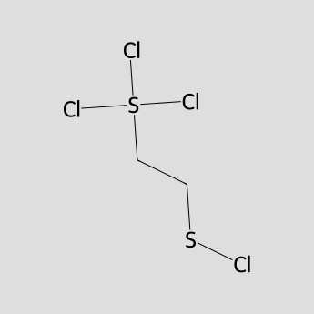 ClSCCS(Cl)(Cl)Cl